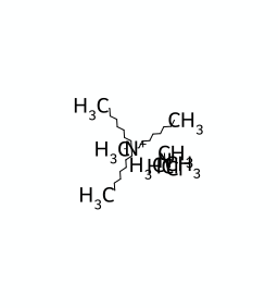 CCCCCCCC[N+](C)(CCCCCCCC)CCCCCCCC.CN(C)C.Cl.[Cl-]